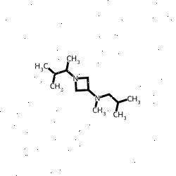 CC(C)CN(C)C1CN(C(C)C(C)C)C1